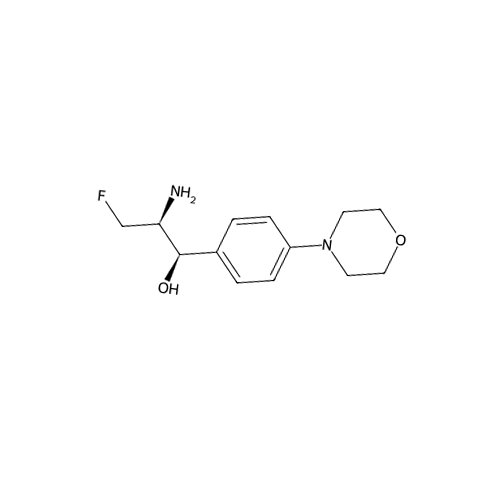 N[C@H](CF)[C@H](O)c1ccc(N2CCOCC2)cc1